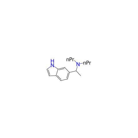 CCCN(CCC)C(C)c1ccc2cc[nH]c2c1